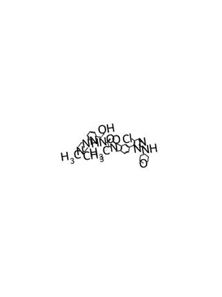 C[C@H](C(=O)N[C@H](CO)c1cccc(N2CCN(C)[C@@H](C)C2)n1)N1Cc2ccc(-c3nc(NC4CCOCC4)ncc3Cl)cc2C1=O